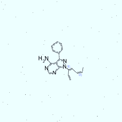 C=C/C(=C\C=C/C)n1nc(-c2ccccc2)c2c(N)ncnc21